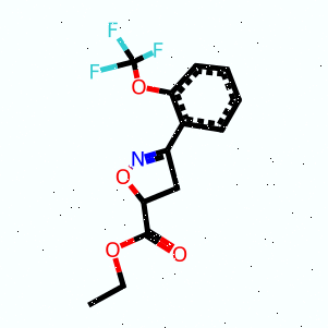 CCOC(=O)C1CC(c2ccccc2OC(F)(F)F)=NO1